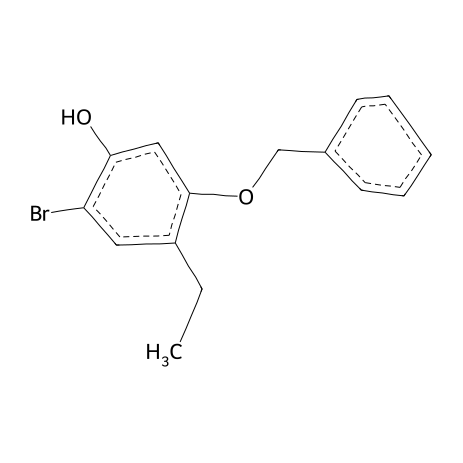 CCc1cc(Br)c(O)cc1OCc1ccccc1